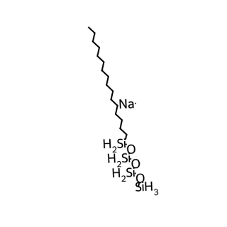 CCCCCCCCCCCCCCCC[SiH2]O[SiH2]O[SiH2]O[SiH3].[Na]